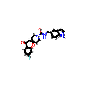 Cn1ccc2cc(CNC(=O)N3CCC4(CC3)CC(=O)c3ccc(F)cc3O4)ccc21